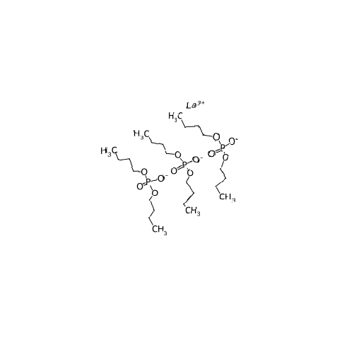 CCCCOP(=O)([O-])OCCCC.CCCCOP(=O)([O-])OCCCC.CCCCOP(=O)([O-])OCCCC.[La+3]